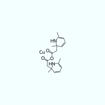 CC1=CC=CC(C)(CC(=O)OC(=O)CC2(C)C=CC=C(C)N2)N1.[Cu]